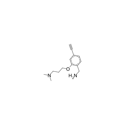 C#Cc1ccc(CN)c(OCCCN(C)C)c1